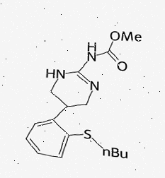 CCCCSc1ccccc1C1CN=C(NC(=O)OC)NC1